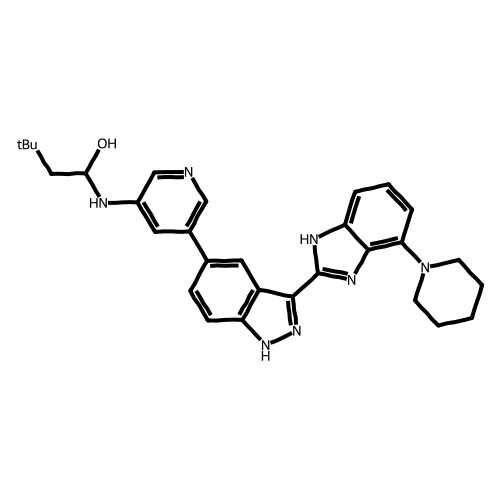 CC(C)(C)CC(O)Nc1cncc(-c2ccc3[nH]nc(-c4nc5c(N6CCCCC6)cccc5[nH]4)c3c2)c1